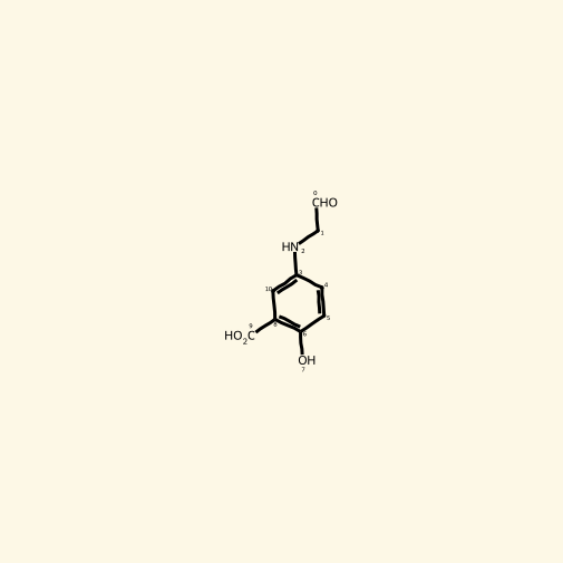 O=CCNc1ccc(O)c(C(=O)O)c1